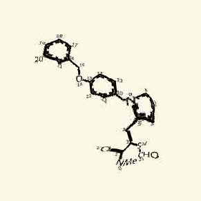 CNC(=O)/C(=C/c1cccn1-c1ccc(OCc2ccccc2)cc1)SC=O